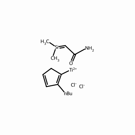 CCCCC1=[C]([Ti+2])CC=C1.C[Si](C)=CC(N)=O.[Cl-].[Cl-]